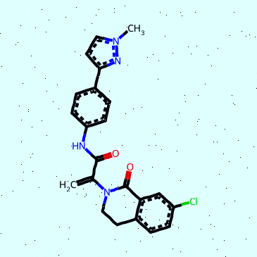 C=C(C(=O)Nc1ccc(-c2ccn(C)n2)cc1)N1CCc2ccc(Cl)cc2C1=O